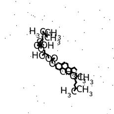 CC(C)CCC[C@@H](C)[C@H]1CCC2C3CC=C4C[C@@H](OC(=O)OCC(O)COP(=O)(O)OCC[N+](C)(C)C)CC[C@]4(C)C3CC[C@@]21C